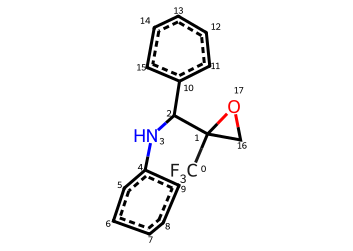 FC(F)(F)C1(C(Nc2ccccc2)c2ccccc2)CO1